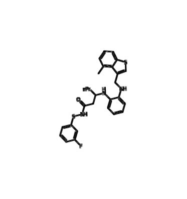 CCCC(CC(=O)NSc1cccc(F)c1)Nc1ccccc1NCc1csc2cccc(C)c12